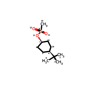 CC(C)(C)[C@H]1CC[C@@H](OS(C)(=O)=O)CC1